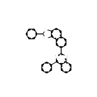 c1ccc(-c2nc(-c3ccc4ccc5c(c4c3)OC(c3ccccc3)N5)nc3ccccc23)cc1